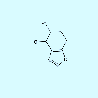 CCC1CCc2oc(C)nc2C1O